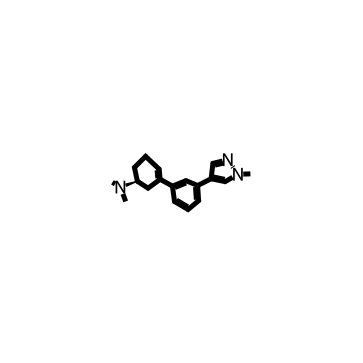 CN(C)[C@H]1CCC=C(c2cccc(-c3cnn(C)c3)c2)C1